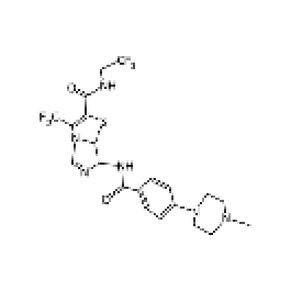 CN1CCN(c2ccc(C(=O)NC3N=CN4C(C(F)(F)F)=C(C(=O)NCC(F)(F)F)SC34)cc2)CC1